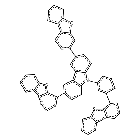 c1cc(-c2cccc3c2sc2ccccc23)cc(-n2c3ccc(-c4ccc5c(c4)oc4ccccc45)cc3c3cc(-c4cccc5c4sc4ccccc45)ccc32)c1